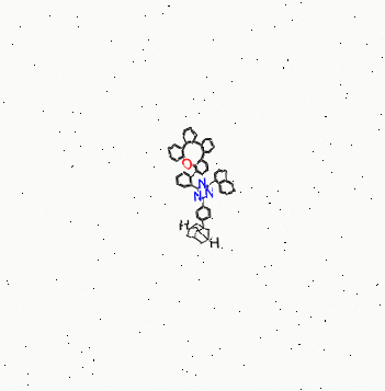 c1ccc(-c2cccc3c2oc2ccccc2c2ccccc2c2ccccc32)c(-c2nc(-c3ccc(C45CC6C[C@H](C4)C[C@@H](C6)C5)cc3)nc(-c3cccc4ccccc34)n2)c1